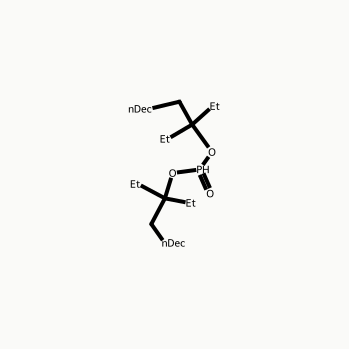 CCCCCCCCCCCC(CC)(CC)O[PH](=O)OC(CC)(CC)CCCCCCCCCCC